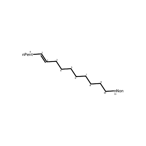 [CH2]CCCCC=CCCCCCCCCCCCCCCCC[CH2]